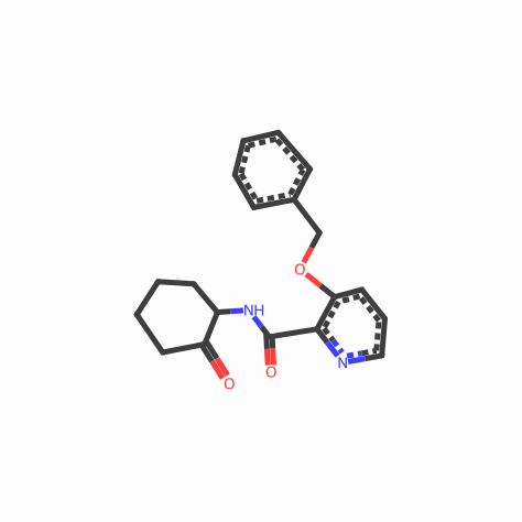 O=C(NC1CCCCC1=O)c1ncccc1OCc1ccccc1